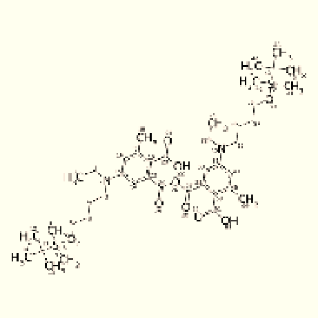 CCN(CCCCO[Si](C)(C)C(C)(C)C)c1cc(C)c(C(=O)O)c(C(=O)OC(=O)c2cc(N(CC)CCCCO[Si](C)(C)C(C)(C)C)cc(C)c2C(=O)O)c1